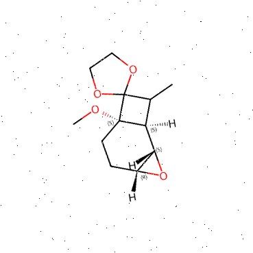 CO[C@@]12CC[C@H]3O[C@H]3[C@@H]1C(C)C21OCCO1